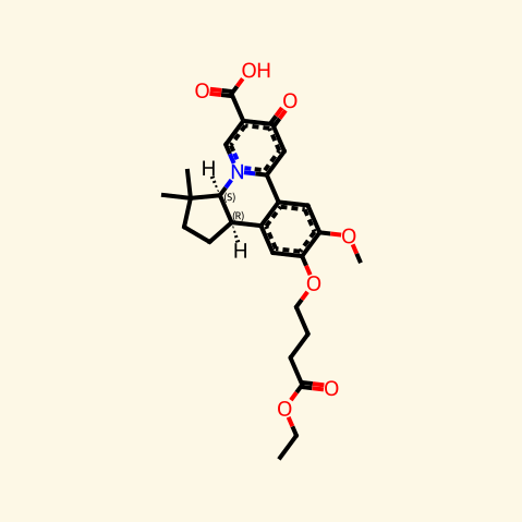 CCOC(=O)CCCOc1cc2c(cc1OC)-c1cc(=O)c(C(=O)O)cn1[C@H]1[C@@H]2CCC1(C)C